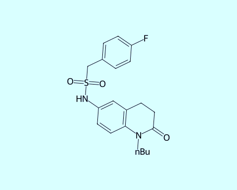 CCCCN1C(=O)CCc2cc(NS(=O)(=O)Cc3ccc(F)cc3)ccc21